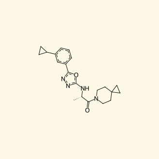 C[C@H](Nc1nnc(-c2cccc(C3CC3)c2)o1)C(=O)N1CCC2(CC1)CC2